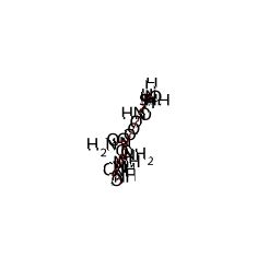 C=CC(=O)Nc1ccccc1Nc1nc(Nc2cc(C(N)=O)c(OCCCN(CCCOCCOCCOCCCNC(=O)CCCC[C@@H]3SC[C@@H]4NC(=O)N[C@@H]43)C(=O)CCCC(N)=O)cc2C)ncc1Cl